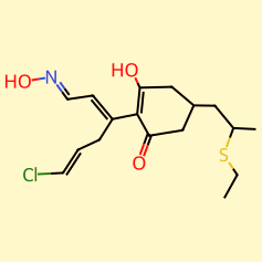 CCSC(C)CC1CC(=O)C(/C(=C/C=NO)C/C=C/Cl)=C(O)C1